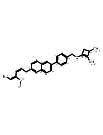 CC/C=C(\C=C/Cc1ccc2cc(-c3ccc(COC4=C(N)C(C)C4)cc3)ccc2c1)SI